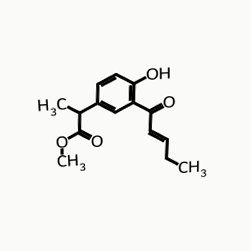 CCC=CC(=O)c1cc(C(C)C(=O)OC)ccc1O